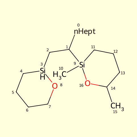 CCCCCCCC(C[SiH]1CCCCO1)[Si]1(C)CCCC(C)O1